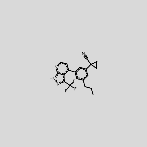 CCCc1cc(-c2ccnc3[nH]nc(C(F)(F)F)c23)cc(C2(C#N)CC2)c1